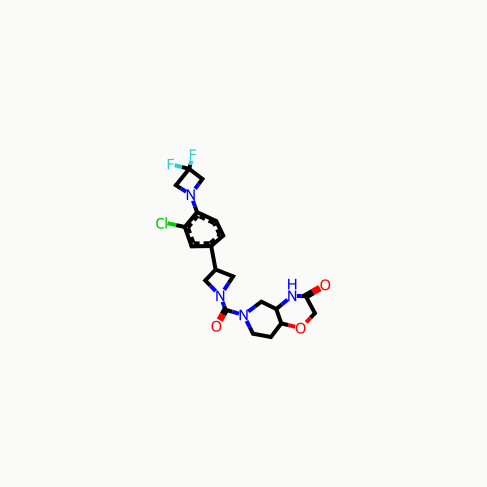 O=C1COC2CCN(C(=O)N3CC(c4ccc(N5CC(F)(F)C5)c(Cl)c4)C3)CC2N1